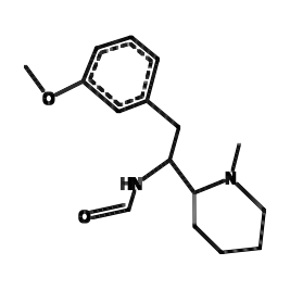 COc1cccc(CC(NC=O)C2CCCCN2C)c1